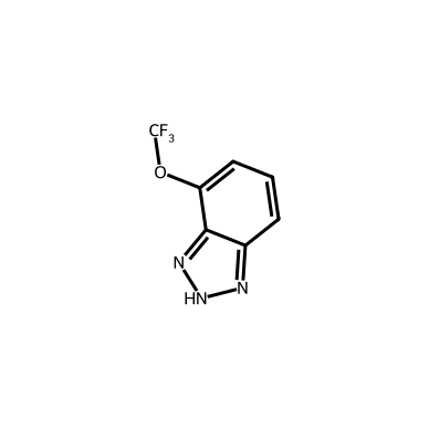 FC(F)(F)Oc1cccc2n[nH]nc12